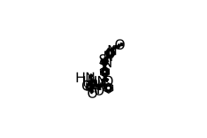 CN[C@H]1CN(C(=O)[C@@H](NC(=O)c2ccc(-c3csc(N4CCN(CCOC)CC4)n3)cc2)C2CCCCC2)[C@@H]2C(=O)CO[C@H]12